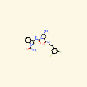 NC(=O)n1cc(NC(=O)N2C[C@@H](N)C[C@H]2C(=O)NCCc2cc(F)cc(Cl)c2)c2ccccc21